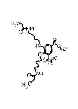 C=CC(=O)NCCCCNc1cc([N+](=O)[O-])cc(S(=O)(=O)[O-])c1OCCCCNC(=O)C=C.[Na+]